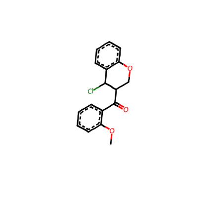 COc1ccccc1C(=O)C1COc2ccccc2C1Cl